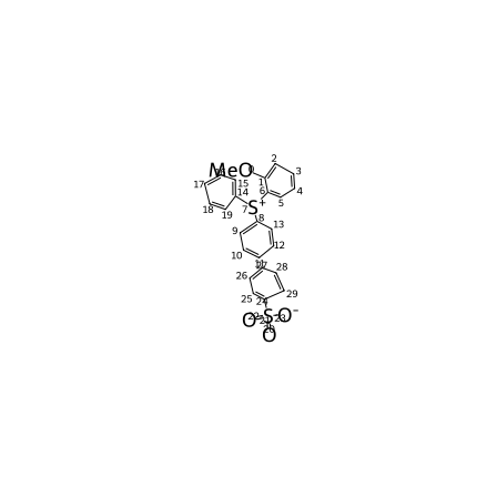 COc1ccccc1[S+](c1ccccc1)c1ccccc1.O=S(=O)([O-])c1ccccc1